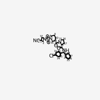 N#CC1CN(S(=O)(=O)N2CCC[C@H](C(=O)N3CCC[C@@H]3C(=O)NC(c3ccccc3)c3ccc(Cl)cc3)C2)C1